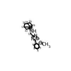 COc1ccccc1-c1nc(CNC23CC4CC(CC(C4)C2)C3)no1